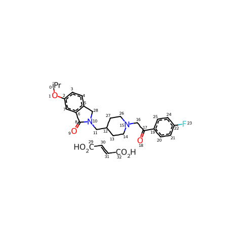 CC(C)Oc1ccc2c(c1)C(=O)N(CC1CCN(CC(=O)c3ccc(F)cc3)CC1)C2.O=C(O)C=CC(=O)O